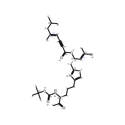 CC(=O)[C@H](CCCc1csc(C[C@@H](/C=C(\C)Br)OC(=O)C#C/C=C(\C)CC(C)C)n1)NC(=O)OC(C)(C)C